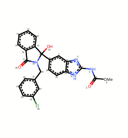 COC(=O)Nc1nc2cc(C3(O)c4ccccc4C(=O)N3Cc3cccc(Cl)c3)ccc2[nH]1